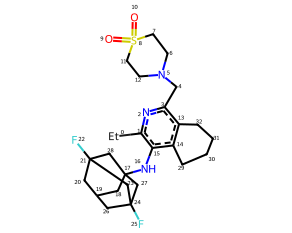 CCc1nc(CN2CCS(=O)(=O)CC2)c2c(c1NC13CC4CC(F)(CC(F)(C4)C1)C3)CCCC2